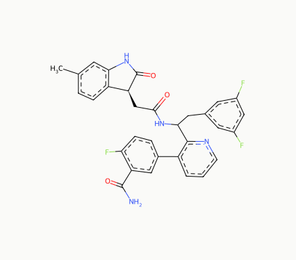 Cc1ccc2c(c1)NC(=O)[C@H]2CC(=O)NC(Cc1cc(F)cc(F)c1)c1ncccc1-c1ccc(F)c(C(N)=O)c1